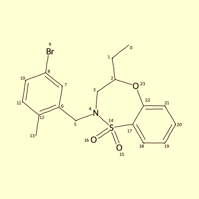 CCC1CN(Cc2cc(Br)ccc2C)S(=O)(=O)c2ccccc2O1